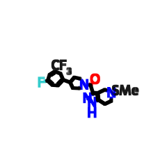 CSN1CCc2[nH]nc(C(=O)N3CCC(C4=CC=C(F)C=C(C(F)(F)F)C4)CC3)c2C1